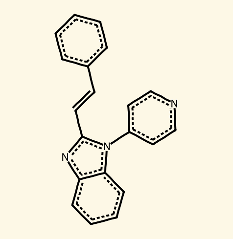 C(=C\c1nc2ccccc2n1-c1ccncc1)/c1ccccc1